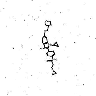 N#Cc1c(-c2ccc(NC(=O)CCC3CC3)cc2)n(C2CC2)c2cc(OCC3COCO3)ccc12